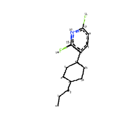 CCCC1CCC(c2ccc(F)nc2F)CC1